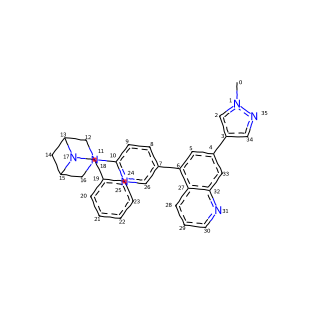 Cn1cc(-c2cc(-c3ccc(N4CC5CC(C4)N5Cc4ccccc4)nc3)c3cccnc3c2)cn1